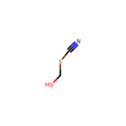 N#CSCO